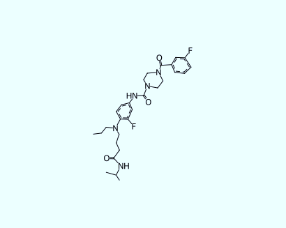 CCCN(CCCC(=O)NC(C)C)c1ccc(NC(=O)N2CCN(C(=O)c3cccc(F)c3)CC2)cc1F